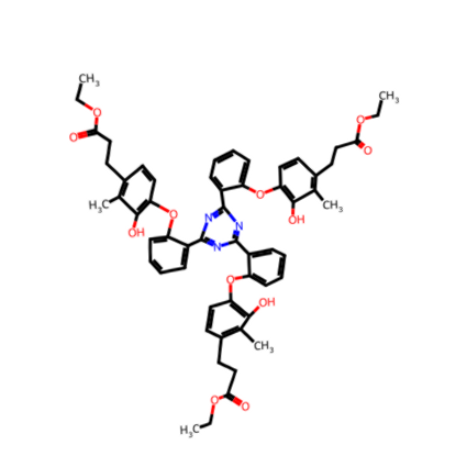 CCOC(=O)CCc1ccc(Oc2ccccc2-c2nc(-c3ccccc3Oc3ccc(CCC(=O)OCC)c(C)c3O)nc(-c3ccccc3Oc3ccc(CCC(=O)OCC)c(C)c3O)n2)c(O)c1C